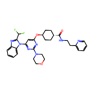 O=C(NCCc1ccccn1)[C@H]1CC[C@H](Oc2cc(-n3c(C(F)F)nc4ccccc43)nc(N3CCOCC3)n2)CC1